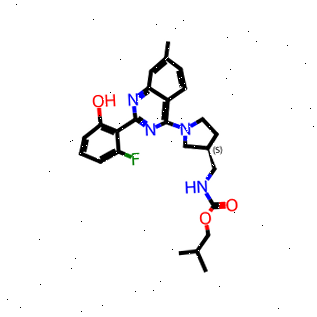 Cc1ccc2c(N3CC[C@@H](CNC(=O)OCC(C)C)C3)nc(-c3c(O)cccc3F)nc2c1